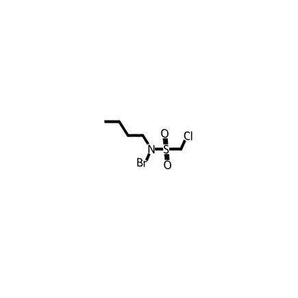 CCCCN(Br)S(=O)(=O)CCl